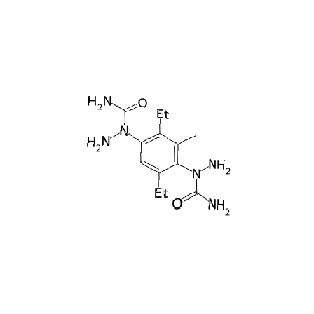 CCc1cc(N(N)C(N)=O)c(CC)c(C)c1N(N)C(N)=O